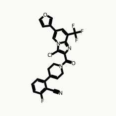 N#Cc1c(F)cccc1C1=CCN(C(=O)c2nc3c(C(F)(F)F)cc(-c4ccoc4)cn3c2Cl)CC1